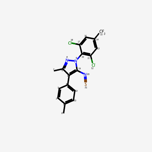 Cc1ccc(-c2c(C)nn(-c3c(Cl)cc(C(F)(F)F)cc3Cl)c2N=S)cc1